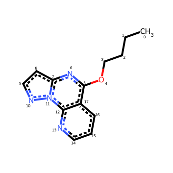 CCCCOc1nc2ccnn2c2ncccc12